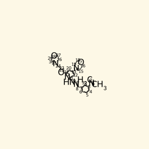 CN(C)c1cccc(C=NNc2cc(N3CCOCC3)cc(OCCN3CCOCC3)n2)c1